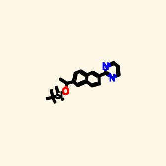 CC(O[Si](C)(C)C(C)(C)C)c1ccc2cc(-c3ncccn3)ccc2c1